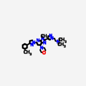 Cc1cccc(-c2ccn(-c3cc(N4CCOCC4)c4nc(-c5cnn(CCN(C)C)c5)n(C)c4n3)n2)c1